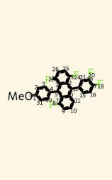 COc1ccc(-c2c3c(F)cccc3c(-c3ccc(F)c(F)c3)c3c(F)ccc(F)c23)cc1